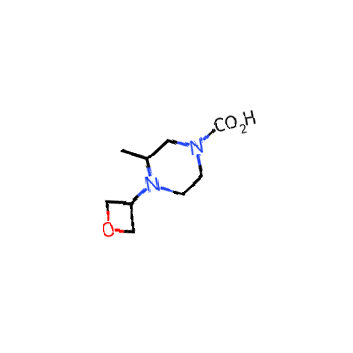 CC1CN(C(=O)O)CCN1C1COC1